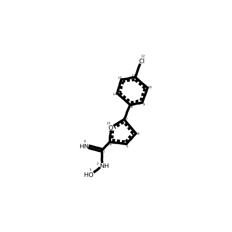 N=C(NO)c1ccc(-c2ccc(Cl)cc2)o1